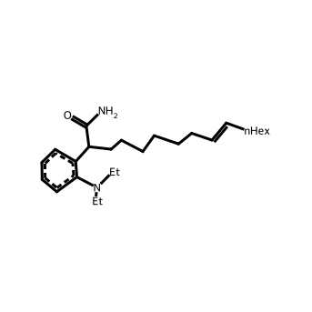 CCCCCCC=CCCCCCCC(C(N)=O)c1ccccc1N(CC)CC